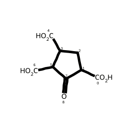 O=C(O)C1CC(C(=O)O)C(C(=O)O)C1=O